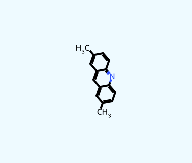 Cc1ccc2nc3ccc(C)cc3cc2c1